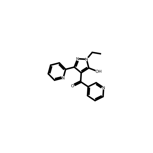 CCn1nc(-c2ccccn2)c(C(=O)c2cccnc2)c1O